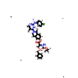 Cc1nc(Nc2ccc(F)cc2)nc(N2CCc3cc(OC(=O)C(COCc4ccccc4)NC(=O)OC(C)(C)C)ccc3C2C)c1C